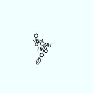 O=C(Nc1n[nH]c2ccc(C(=O)NC3(c4ccccc4)CC3)cc12)c1ccc(N2CCOCC2)cc1